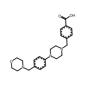 O=C(O)c1ccc(CN2CCN(c3ccc(CN4CCOCC4)cc3)CC2)cc1